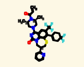 C=CC(=O)N1[C@H](C)CN(c2nc(=O)n3c4c(c(C5=CCC(F)(F)CC5)c(C(F)(F)F)cc24)SC[C@@H](c2ccccn2)C3)C[C@@H]1C